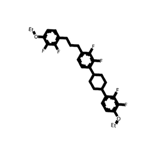 CCOc1ccc(CCCc2ccc(C3CCC(c4ccc(OCC)c(F)c4F)CC3)c(F)c2F)c(F)c1F